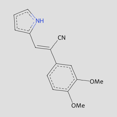 COc1ccc(/C(C#N)=C/c2ccc[nH]2)cc1OC